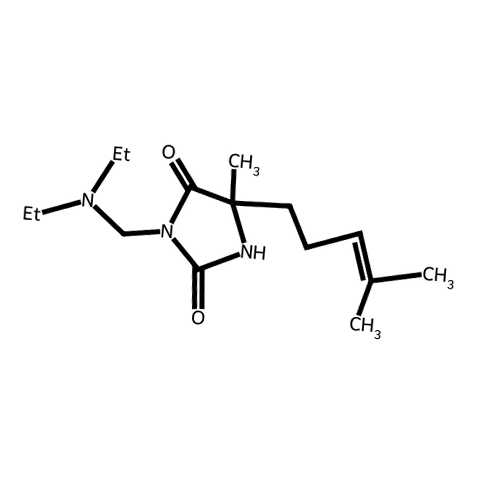 CCN(CC)CN1C(=O)NC(C)(CCC=C(C)C)C1=O